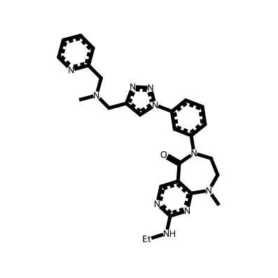 CCNc1ncc2c(n1)N(C)CCN(c1cccc(-n3cc(CN(C)Cc4ccccn4)nn3)c1)C2=O